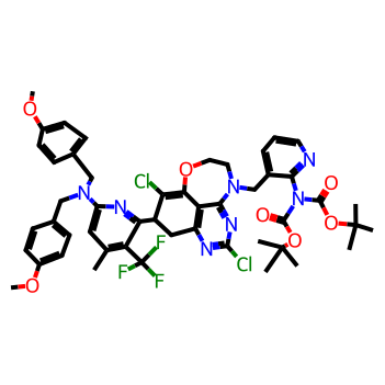 COc1ccc(CN(Cc2ccc(OC)cc2)c2cc(C)c(C(F)(F)F)c(C3Cc4nc(Cl)nc5c4C(=C3Cl)OCCN5Cc3cccnc3N(C(=O)OC(C)(C)C)C(=O)OC(C)(C)C)n2)cc1